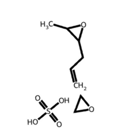 C1CO1.C=CCC1OC1C.O=S(=O)(O)O